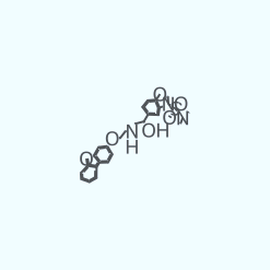 CN(C)S(=O)(=O)N1COc2ccc([C@@H](O)CNCCOc3ccc4c(c3)oc3ccccc34)cc21